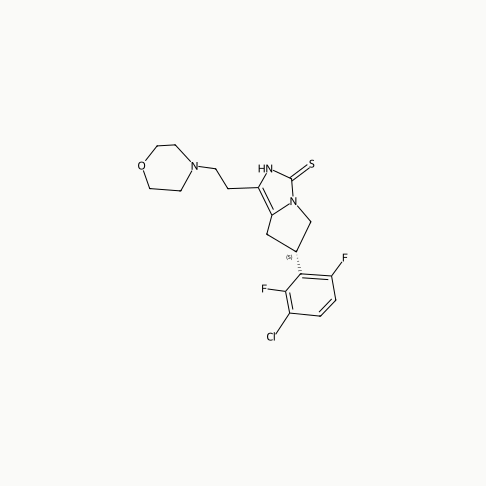 Fc1ccc(Cl)c(F)c1[C@@H]1Cc2c(CCN3CCOCC3)[nH]c(=S)n2C1